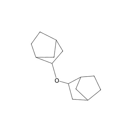 C1CC2CC1CC2OC1CC2CCC1C2